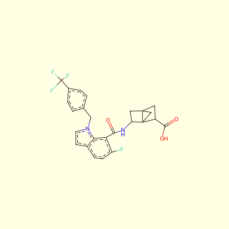 O=C(NC1CC23CC(C(=O)O)C12C3)c1c(F)ccc2ccn(Cc3ccc(C(F)(F)F)cc3)c12